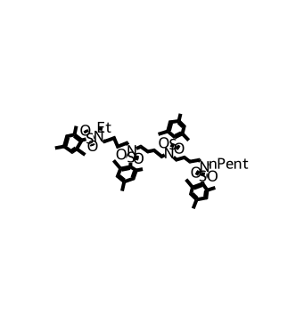 CCCCCN(CCCCN(CCCCN(CCCCN(CC)S(=O)(=O)c1c(C)cc(C)cc1C)S(=O)(=O)c1c(C)cc(C)cc1C)S(=O)(=O)c1c(C)cc(C)cc1C)S(=O)(=O)c1c(C)cc(C)cc1C